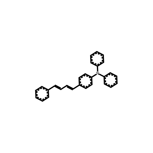 C(C=Cc1ccc(N(c2ccccc2)c2ccccc2)cc1)=Cc1ccccc1